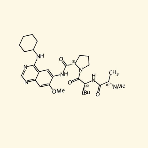 CN[C@@H](C)C(=O)N[C@H](C(=O)N1CCC[C@H]1C(=O)Nc1cc2c(NC3CCCCC3)ncnc2cc1OC)C(C)(C)C